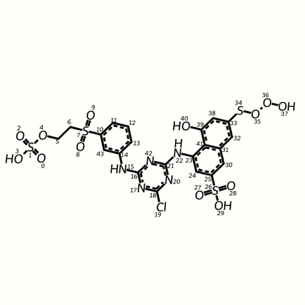 O=S(=O)(O)OCCS(=O)(=O)c1cccc(Nc2nc(Cl)nc(Nc3cc(S(=O)(=O)O)cc4cc(SOOO)cc(O)c34)n2)c1